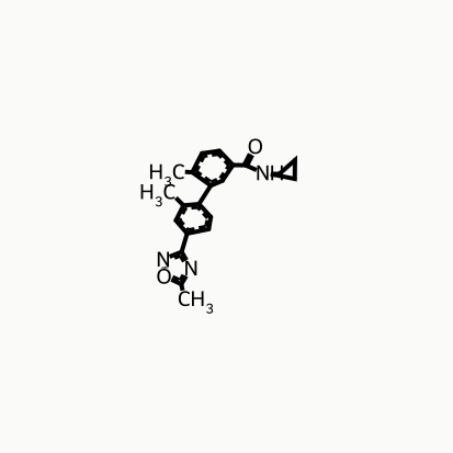 Cc1nc(-c2ccc(-c3cc(C(=O)NC4CC4)ccc3C)c(C)c2)no1